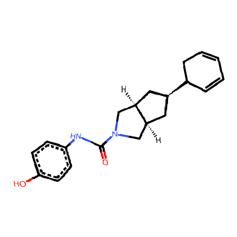 O=C(Nc1ccc(O)cc1)N1C[C@H]2C[C@@H](C3C=CC=CC3)C[C@H]2C1